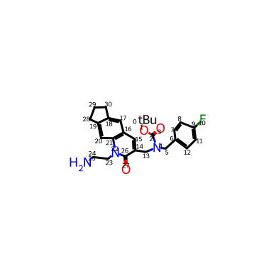 CC(C)(C)OC(=O)N(Cc1ccc(F)cc1)Cc1cc2cc3c(cc2n(CCN)c1=O)CCC3